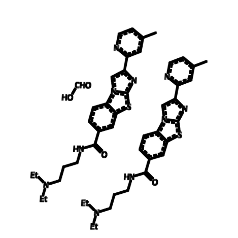 CCN(CC)CCCNC(=O)c1ccc2c(c1)sc1nc(-c3cc(C)ccn3)cn12.CCN(CC)CCCNC(=O)c1ccc2c(c1)sc1nc(-c3cc(C)ccn3)cn12.O=CO